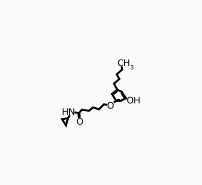 CCCCCc1cc(O)cc(OCCCCCC(=O)NC2CC2)c1